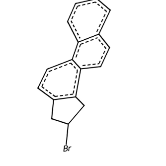 BrC1Cc2ccc3c(ccc4ccccc43)c2C1